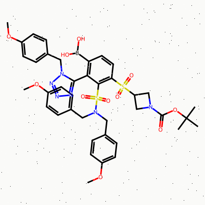 COc1ccc(CN(Cc2ccc(OC)cc2)S(=O)(=O)c2c(S(=O)(=O)C3CN(C(=O)OC(C)(C)C)C3)ccc(B(O)O)c2-c2nnnn2Cc2ccc(OC)cc2)cc1